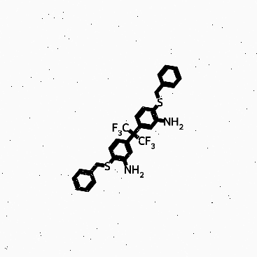 Nc1cc(C(c2ccc(SCc3ccccc3)c(N)c2)(C(F)(F)F)C(F)(F)F)ccc1SCc1ccccc1